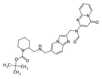 CC(C)(C)OC(=O)N1CCCCC1CNCc1ccc2nc(CN(C=O)c3cc(=O)n4ccccc4n3)cn2c1